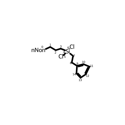 CCCCCCCCCCCC[Si](Cl)(Cl)CCc1ccccc1